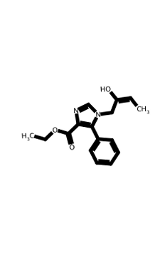 C/C=C(/O)Cn1cnc(C(=O)OCC)c1-c1ccccc1